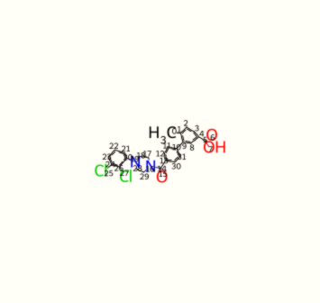 Cc1ccc(C(=O)O)cc1-c1ccc(C(=O)N2CCN(c3cccc(Cl)c3Cl)CC2)cc1